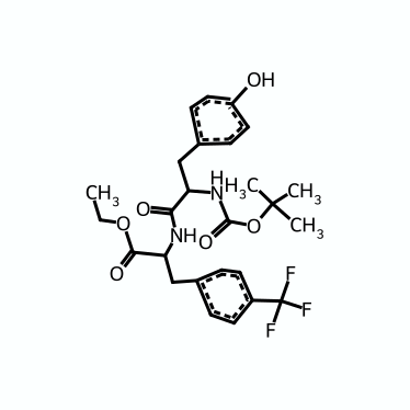 CCOC(=O)C(Cc1ccc(C(F)(F)F)cc1)NC(=O)C(Cc1ccc(O)cc1)NC(=O)OC(C)(C)C